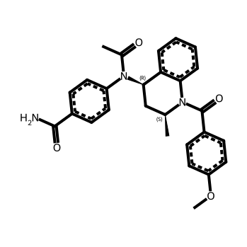 COc1ccc(C(=O)N2c3ccccc3[C@H](N(C(C)=O)c3ccc(C(N)=O)cc3)C[C@@H]2C)cc1